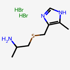 Br.Br.Cc1[nH]cnc1CSCC(C)N